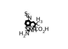 CC(Cc1ccccc1N=C=S)[C@H](NNC(N)=S)C(=O)O